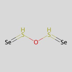 [Se]=[SH]O[SH]=[Se]